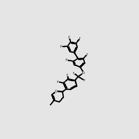 CC1=COC(c2ccc(C(F)(F)Oc3cc(F)c(-c4cc(F)c(F)c(F)c4)c(F)c3)c(F)c2F)CC1